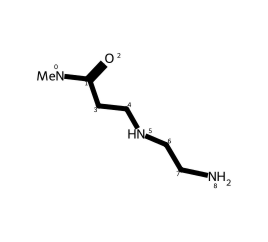 CNC(=O)CCNCCN